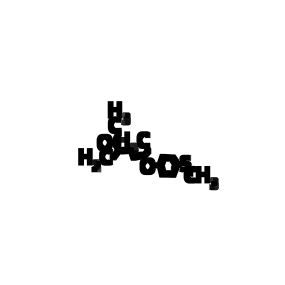 C=C/C(=C\C=C(/CC)Oc1ccc(SC)cc1)C(=O)CC